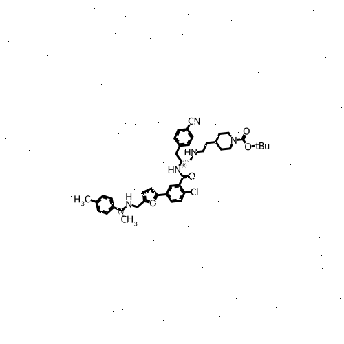 Cc1ccc([C@@H](C)NCc2ccc(-c3ccc(Cl)c(C(=O)N[C@@H](CNCCC4CCN(C(=O)OC(C)(C)C)CC4)Cc4ccc(C#N)cc4)c3)o2)cc1